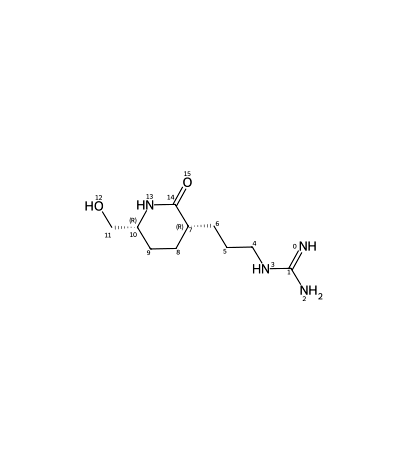 N=C(N)NCCC[C@@H]1CC[C@H](CO)NC1=O